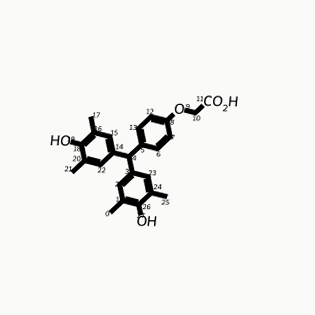 Cc1cc(C(c2ccc(OCC(=O)O)cc2)c2cc(C)c(O)c(C)c2)cc(C)c1O